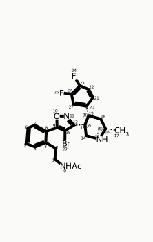 CC(=O)NCCc1ccccc1-c1onc([C@H]2CN[C@@H](C)C[C@H]2c2ccc(F)c(F)c2)c1Br